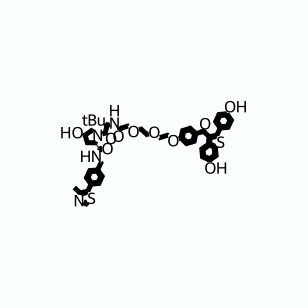 Cc1ncsc1-c1ccc(CNC(=O)[C@@H]2C[C@@H](O)CN2C(=O)C(NC(=O)COCCOCCOc2ccc(C(=O)c3c(-c4ccc(O)cc4)sc4cc(O)ccc34)cc2)C(C)(C)C)cc1